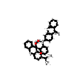 CC(C)c1ccc2c(c1)C1(c3ccccc3O2)c2ccccc2N(c2ccc3c(=O)c4ccccc4sc3c2)c2ccccc21